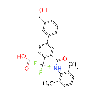 Cc1cccc(C)c1NC(=O)c1cc(-c2cccc(CO)c2)ccc1C(F)(F)F.O=CO